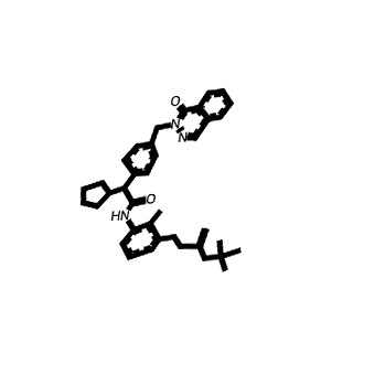 C=C(CCc1cccc(NC(=O)C(c2ccc(Cn3ncc4ccccc4c3=O)cc2)C2CCCC2)c1C)CC(C)(C)C